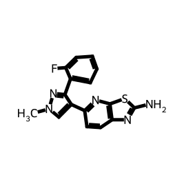 Cn1cc(-c2ccc3nc(N)sc3n2)c(-c2ccccc2F)n1